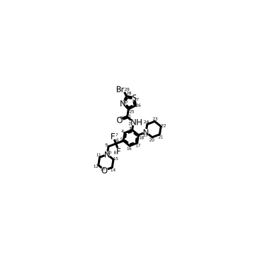 O=C(Nc1cc(C(F)(F)CN2CCOCC2)ccc1N1CCCCC1)c1csc(Br)n1